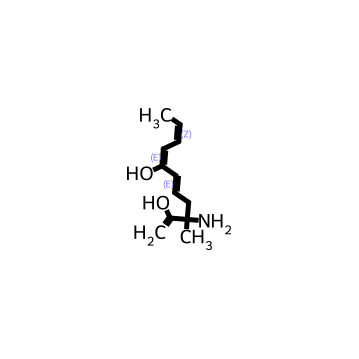 C=C(O)C(C)(N)C/C=C/C(O)=C\C=C/C